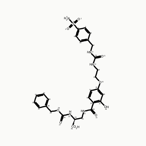 NS(=O)(=O)c1ccc(CNC(=O)NCCOc2ccc(C(=O)NC[C@H](NC(=O)OCc3ccccc3)C(=O)O)c(O)c2)cc1